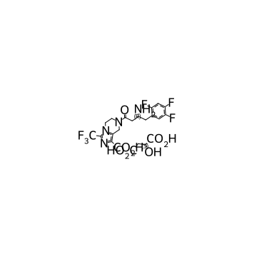 N[C@@H](CC(=O)N1CCn2c(C(F)(F)F)nc(C(=O)O)c2C1)Cc1cc(F)c(F)cc1F.O=C(O)C[C@H](O)C(=O)O